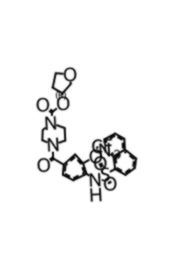 O=C(O[C@@H]1CCOC1)N1CCN(C(=O)c2ccc(NS(=O)(=O)c3cccc4cccnc34)c(OC(F)(F)F)c2)CC1